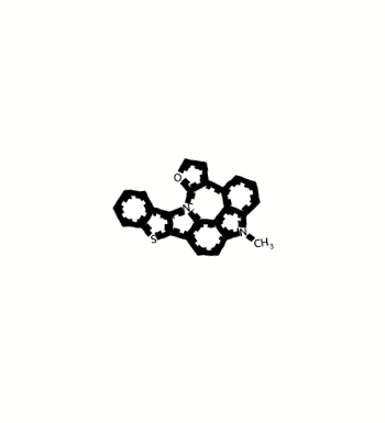 Cn1c2cccc3c4ccoc4n4c5c6ccccc6sc5c5ccc1c(c32)c54